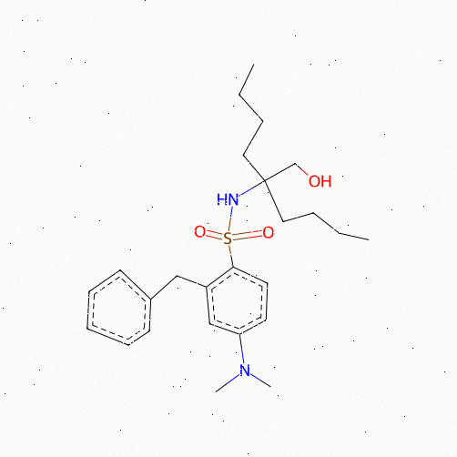 CCCCC(CO)(CCCC)NS(=O)(=O)c1ccc(N(C)C)cc1Cc1ccccc1